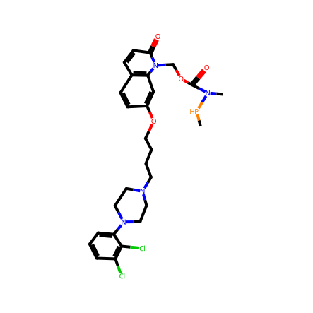 CPN(C)C(=O)OCn1c(=O)ccc2ccc(OCCCCN3CCN(c4cccc(Cl)c4Cl)CC3)cc21